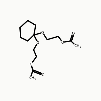 CC(=O)OCCOC1(OCCOC(C)=O)CCCCC1